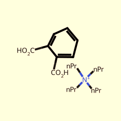 CCC[N+](CCC)(CCC)CCC.O=C(O)c1ccccc1C(=O)O